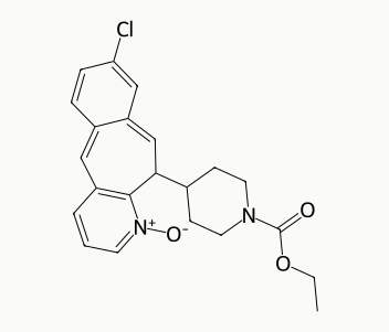 CCOC(=O)N1CCC(C2C=c3cc(Cl)ccc3=Cc3ccc[n+]([O-])c32)CC1